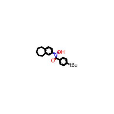 CC(C)(C)c1ccc(C(=O)N(O)c2ccc3c(c2)CCCCC3)cc1